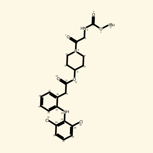 CC(C)(C)OC(=O)NCC(=O)N1CCC(OC(=O)Cc2ccccc2Nc2c(Cl)cccc2Cl)CC1